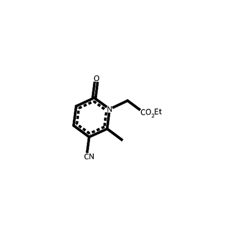 CCOC(=O)Cn1c(C)c(C#N)ccc1=O